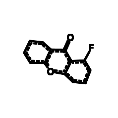 O=c1c2ccccc2oc2cccc(F)c12